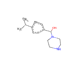 CC(C)c1ccc(C(O)N2CCNCC2)cc1